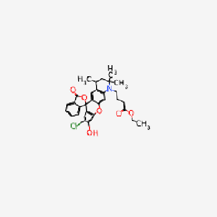 CCOC(=O)CCCN1c2cc3c(cc2C(C)CC1(C)C)C1(OC(=O)c2ccccc21)c1cc(Cl)c(O)cc1O3